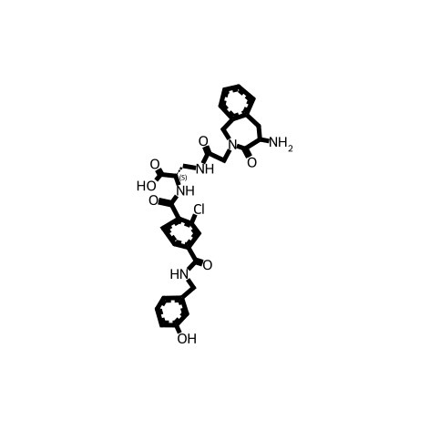 NC1Cc2ccccc2CN(CC(=O)NC[C@H](NC(=O)c2ccc(C(=O)NCc3cccc(O)c3)cc2Cl)C(=O)O)C1=O